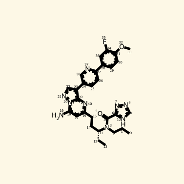 CCCN(C(=O)c1nnc[nH]1)[C@H](CC)CCc1cc(N)n2ncc(-c3ccc(-c4ccc(OC)c(F)c4)nc3)c2n1